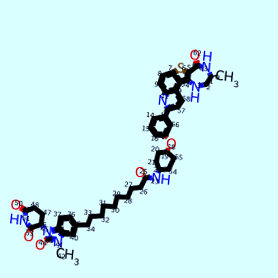 C[C@@H]1CNc2c(sc3ccc4nc(-c5cccc(OC6CCC(NC(=O)CCCCCCCCCc7ccc8c(c7)n(C)c(=O)n8C7CCC(=O)NC7=O)CC6)c5)ccc4c23)C(=O)N1